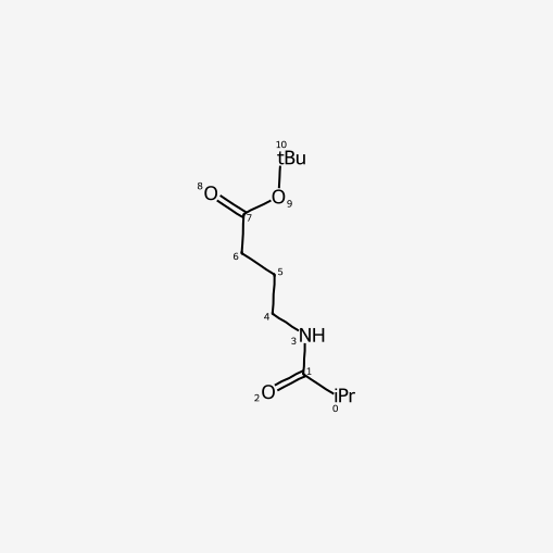 CC(C)C(=O)NCCCC(=O)OC(C)(C)C